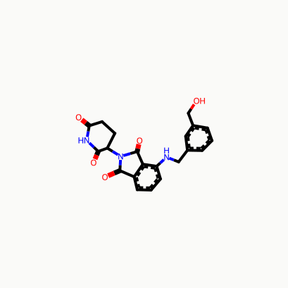 O=C1CCC(N2C(=O)c3cccc(NCc4cccc(CO)c4)c3C2=O)C(=O)N1